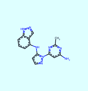 Cc1nc(N)cc(-n2nccc2Nc2cccc3[nH]ncc23)n1